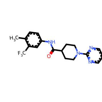 Cc1ccc(NC(=O)C2CCN(c3ncccn3)CC2)cc1C(F)(F)F